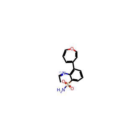 C/C=N\c1c(C2=CC=COC=C2)cccc1S(N)(=O)=O